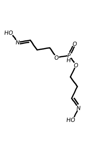 O=[PH](OCCC=NO)OCCC=NO